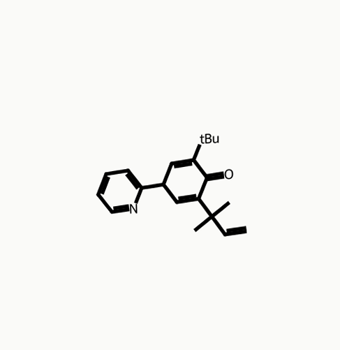 C=CC(C)(C)C1=CC(c2ccccn2)C=C(C(C)(C)C)C1=O